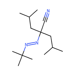 CC(C)CC(C#N)(CC(C)C)N=NC(C)(C)C